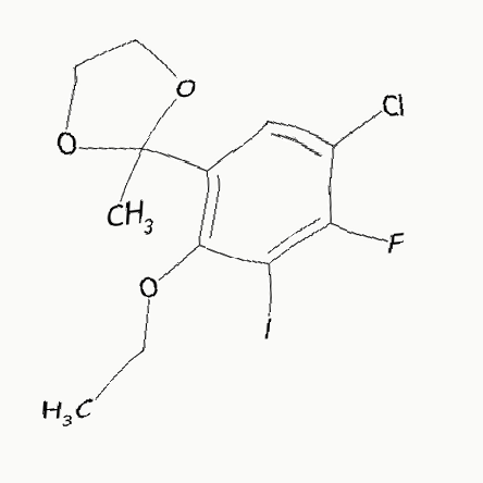 CCOc1c(C2(C)OCCO2)cc(Cl)c(F)c1I